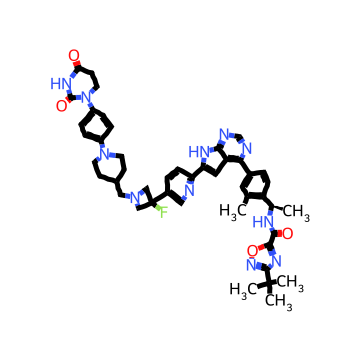 Cc1cc(-c2ncnc3[nH]c(-c4ccc(C5(F)CN(CC6CCN(c7ccc(N8CCC(=O)NC8=O)cc7)CC6)C5)cn4)cc23)ccc1[C@@H](C)NC(=O)c1nc(C(C)(C)C)no1